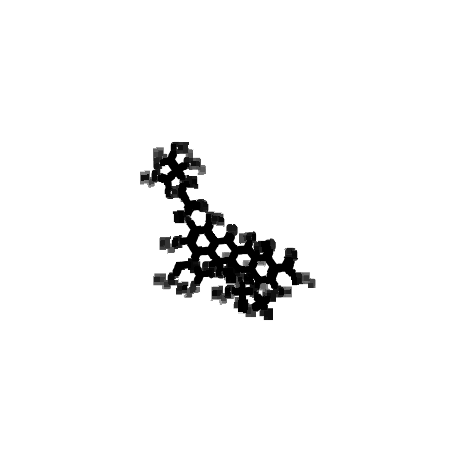 [2H]C([2H])([2H])N([C@@H]1C(O)=C(C(N)=O)C(=O)[C@@]2(O)C(O)=C3C(=O)c4c(O)c(NC(=O)CNC(C)(C(C)C)C(C)C)c(C)c(N(CC)C(C)C)c4C(C)(C)[C@@]3(C)C[C@@H]12)C([2H])(C)C